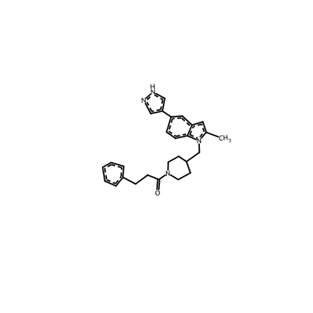 Cc1cc2cc(-c3cn[nH]c3)ccc2n1CC1CCN(C(=O)CCc2ccccc2)CC1